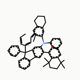 C=C/C=C(\C=C/C)C1(c2ccccc2)c2ccccc2-c2cc(-c3cccc4c3C(C)(C)CCC4(C)C)c(N(c3ccccc3)c3cc4c(cc3C)CCCC4)cc21